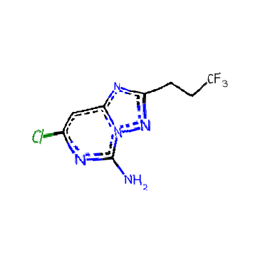 Nc1nc(Cl)cc2nc(CCC(F)(F)F)nn12